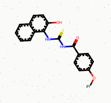 CC(C)Oc1ccc(C(=O)NC(=S)Nc2c(O)ccc3ccccc23)cc1